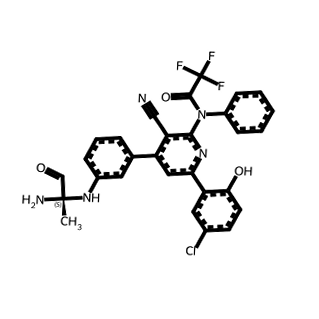 C[C@@](N)(C=O)Nc1cccc(-c2cc(-c3cc(Cl)ccc3O)nc(N(C(=O)C(F)(F)F)c3ccccc3)c2C#N)c1